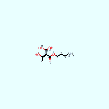 CC(O)=C(C(=O)OCCC[SiH3])C(O)O